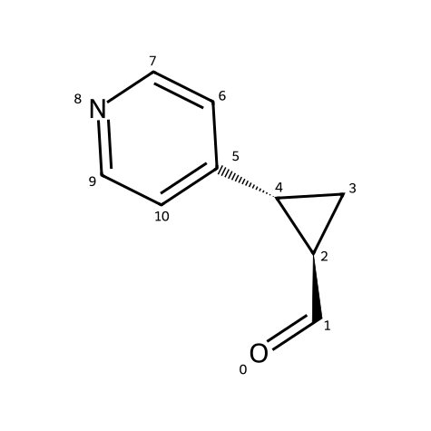 O=C[C@@H]1C[C@H]1c1ccncc1